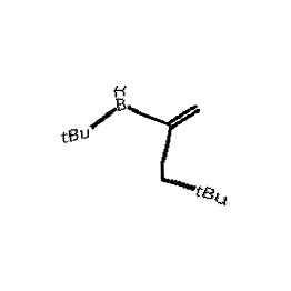 C=C(BC(C)(C)C)CC(C)(C)C